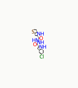 O=C(NNC(=O)c1cc2sccc2[nH]1)c1cc2cc(Cl)ccc2[nH]1